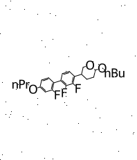 CCCCOC1CCC(c2ccc(-c3ccc(OCCC)cc3F)c(F)c2F)CO1